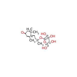 CC1=CC(=O)CC(C)(C)[C@H]1CC[C@@H](C)O[C@@H]1O[C@H](CO)[C@@H](O)[C@H](O)[C@H]1O